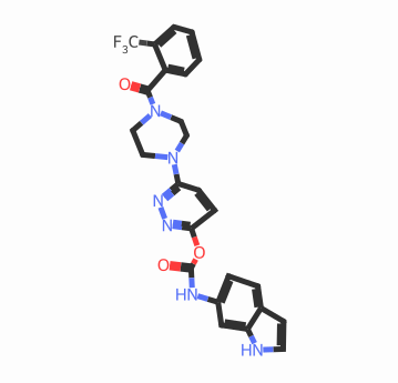 O=C(Nc1ccc2cc[nH]c2c1)Oc1ccc(N2CCN(C(=O)c3ccccc3C(F)(F)F)CC2)nn1